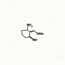 CN/C=C1\C(=N)CCCC1N